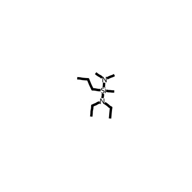 CCC[Si](C)(N(C)C)N(CC)CC